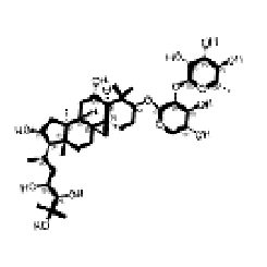 C[C@H](C[C@H](O)[C@@H](O)C(C)(C)O)[C@H]1[C@@H](O)C[C@@]2(C)[C@@H]3C[C@H](O)[C@H]4C(C)(C)[C@@H](O[C@@H]5OC[C@@H](O)[C@H](O)[C@H]5O[C@@H]5O[C@@H](C)[C@H](O)[C@@H](O)[C@H]5O)CC[C@@]45C[C@@]35CC[C@]12C